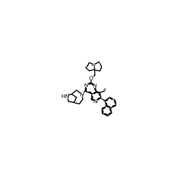 Fc1c(-c2cccc3ccccc23)ncc2c(N3CCC4CNC(C4)C3)nc(OCC34CCCN3CCC4)nc12